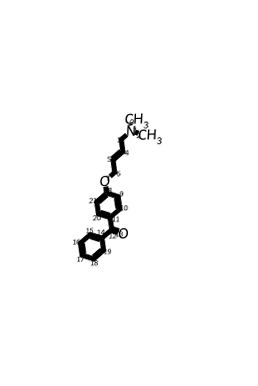 CN(C)CC=CCOc1ccc(C(=O)c2ccccc2)cc1